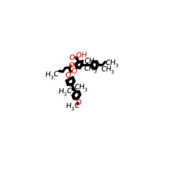 CCCCC(Oc1ccc(C(C)(C)c2ccc(C(C)CC)cc2)cc1C(=O)O)C(=O)Oc1ccc(C(C)(C)c2ccc(OC)cc2)cc1